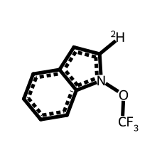 [2H]c1cc2ccccc2n1OC(F)(F)F